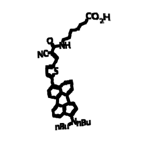 CCCCN(CCCC)c1ccc2c3cccc4c(-c5ccc(/C=C(\C#N)C(=O)NCCCCCCC(=O)O)s5)ccc(c5cccc1c52)c43